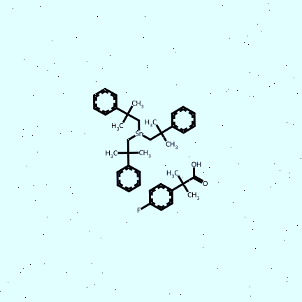 CC(C)(C(=O)O)c1ccc(F)cc1.CC(C)([CH2][Sn]([CH2]C(C)(C)c1ccccc1)[CH2]C(C)(C)c1ccccc1)c1ccccc1